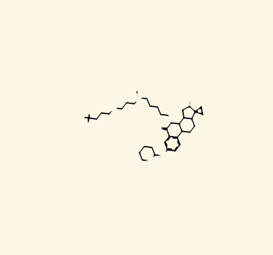 CN(CCCCC[C@@H]1C(=O)c2cc(OC3CCCCO3)ccc2C2CC[C@@]3(C)C(C[C@@H](O)C34CC4)C21)CCCSCCCC(F)(F)C(F)(F)F